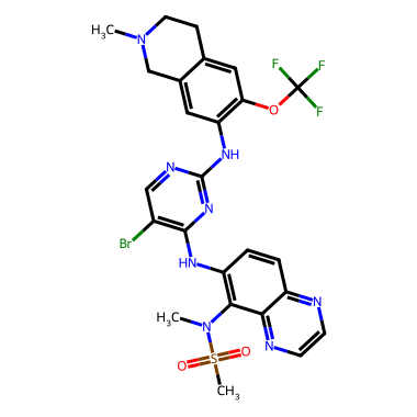 CN1CCc2cc(OC(F)(F)F)c(Nc3ncc(Br)c(Nc4ccc5nccnc5c4N(C)S(C)(=O)=O)n3)cc2C1